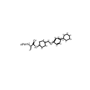 CCCCC[C@H](F)C(=O)OC1CCC(COc2ccc(C3CC[CH]CC3)cc2)CC1